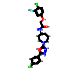 O=C(COc1ccc(Cl)c(F)c1)N[C@@H]1CCCN(c2nnc(-c3ccc(Cl)cc3)o2)CC1